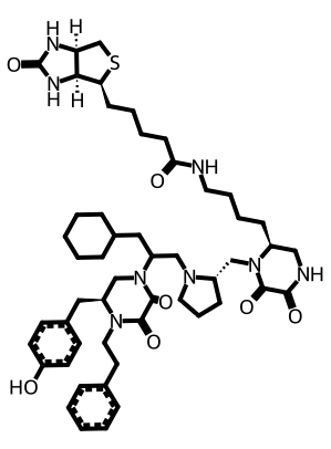 O=C(CCCC[C@@H]1SC[C@@H]2NC(=O)N[C@@H]21)NCCCC[C@H]1CNC(=O)C(=O)N1C[C@@H]1CCCN1CC(CC1CCCCC1)N1C[C@H](Cc2ccc(O)cc2)N(CCc2ccccc2)C(=O)C1=O